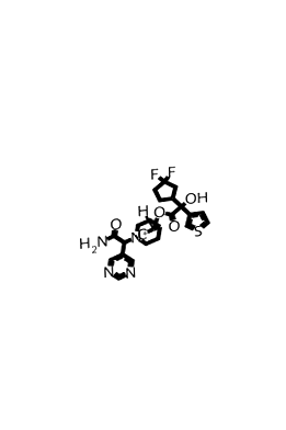 NC(=O)C(c1cncnc1)[N+]12CCC(CC1)[C@@H](OC(=O)C(O)(c1ccsc1)C1CCC(F)(F)C1)C2